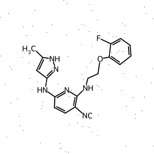 [C-]#[N+]c1ccc(Nc2cc(C)[nH]n2)nc1NCCOc1ccccc1F